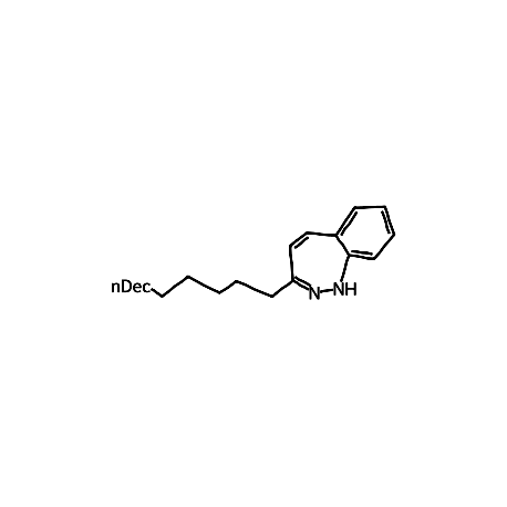 CCCCCCCCCCCCCCCC1=NNc2ccccc2C=C1